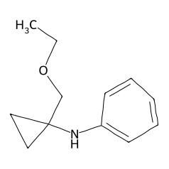 CCOCC1(Nc2ccccc2)CC1